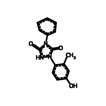 Cc1cc(O)ccc1-n1[nH]c(=O)n(-c2ccccc2)c1=O